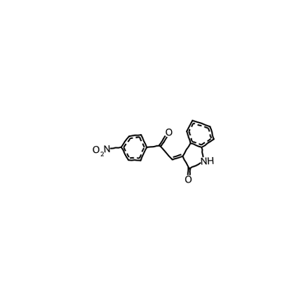 O=C1Nc2ccccc2C1=CC(=O)c1ccc([N+](=O)[O-])cc1